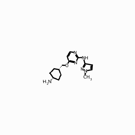 Cn1ccc(Nc2nccc(OC[C@H]3CC[C@@H](N)CC3)n2)n1